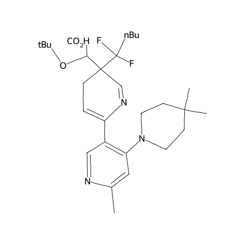 CCCCC(F)(F)C1(C(OC(C)(C)C)C(=O)O)C=NC(c2cnc(C)cc2N2CCC(C)(C)CC2)=CC1